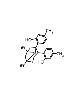 Cc1ccc(C2C3CC4(C(C)C)CC(C(C)C)(C3)CC2(c2ccc(C)cc2O)C4)c(O)c1